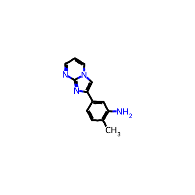 Cc1ccc(-c2cn3cccnc3n2)cc1N